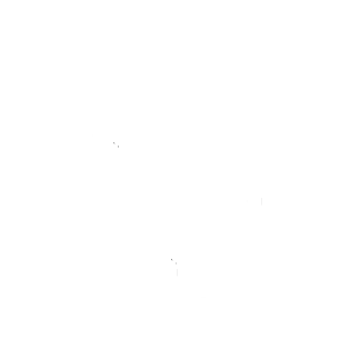 Cc1ccc(Cl)c(Nc2ccc(CN(C)c3ccccc3CCO)cc2)c1